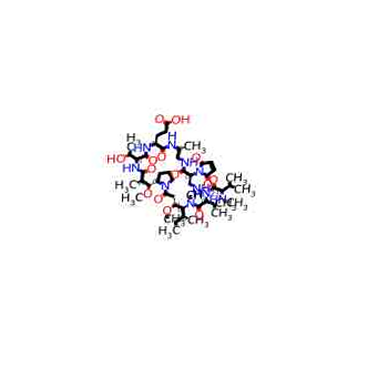 CC[C@H](C)[C@@H]([C@@H](CC(=O)N1CCC[C@H]1C(OC)[C@@H](C)C(=O)N[C@H](C(=O)N[C@@H](CCC(=O)O)C(=O)N[C@H](C)CNC(=O)[C@H](CN)N1C(=O)C=CC1=O)C(C)O)OC)N(C)C(=O)[C@@H](NC(=O)[C@@H](NC)C(C)C)C(C)C